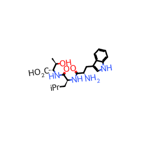 CC(C)C[C@H](NC(=O)[C@@H](N)Cc1c[nH]c2ccccc12)C(=O)N[C@H](C(=O)O)[C@@H](C)O